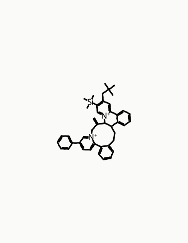 C=C1C[n+]2cc(-c3ccccc3)ccc2-c2ccccc2CCC2c3ccccc3-c3cc(CC(C)(C)C)c([Si](C)(C)C)c[n+]3C12